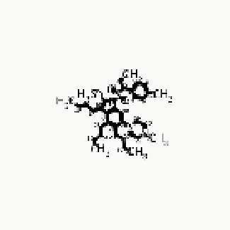 C=CC(c1ccc(C)cc1)S(=O)(=O)n1[c]([SnH3])c(CCCC)c2c(CCCC)c(CCCC)c(N3CCN(C)CC3)cc21